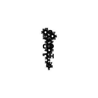 C=C(NCCCN1CCCC1)c1ccc(OC2CCN(C(=C)C3c4ccccc4Oc4ccccc43)CC2)c(Cl)c1